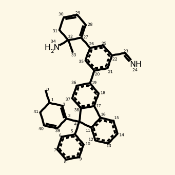 CC1C=C(C2(c3ccccc3)c3ccccc3-c3cc(-c4cc(C=N)cc(C5=CC=CCC5(C)N)c4)ccc32)C=CC1